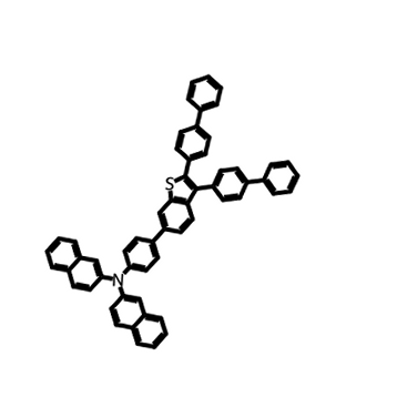 c1ccc(-c2ccc(-c3sc4cc(-c5ccc(N(c6ccc7ccccc7c6)c6ccc7ccccc7c6)cc5)ccc4c3-c3ccc(-c4ccccc4)cc3)cc2)cc1